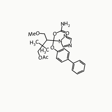 COCC(C(C)(C)COC(C)=O)C(OC(N)=O)(Oc1ccc(-c2ccccc2)cc1)n1cncn1